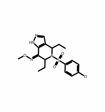 CCC1C(=NOC)c2[nH]ncc2C(CC)N1S(=O)(=O)c1ccc(Cl)cc1